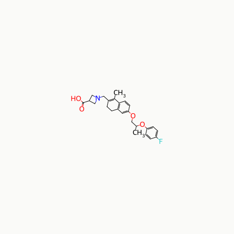 CC1=C(CN2CC(C(=O)O)C2)CCc2cc(OCC(C)Oc3ccc(F)cc3)ccc21